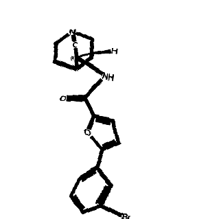 O=C(N[C@H]1CN2CCC1CC2)c1ccc(-c2cccc(Br)c2)o1